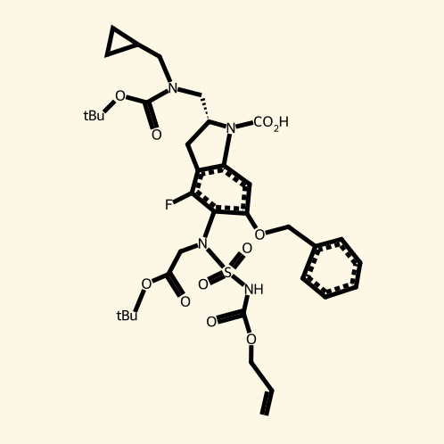 C=CCOC(=O)NS(=O)(=O)N(CC(=O)OC(C)(C)C)c1c(OCc2ccccc2)cc2c(c1F)C[C@H](CN(CC1CC1)C(=O)OC(C)(C)C)N2C(=O)O